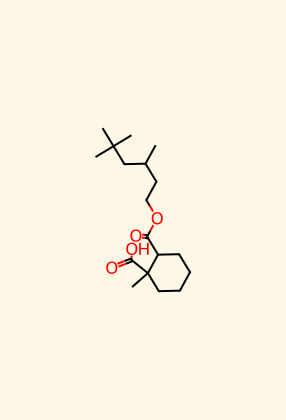 CC(CCOC(=O)C1CCCCC1(C)C(=O)O)CC(C)(C)C